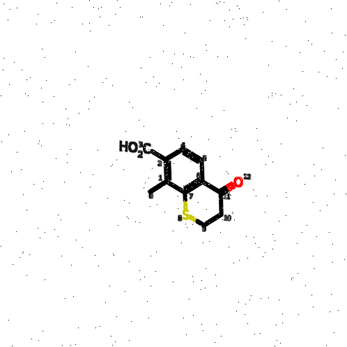 Cc1c(C(=O)O)ccc2c1SCCC2=O